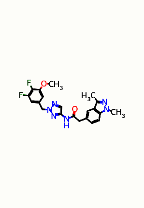 COc1cc(Cn2ncc(NC(=O)Cc3ccc4c(c3)c(C)nn4C)n2)cc(F)c1F